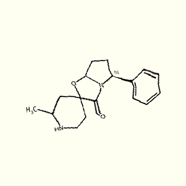 CC1CC2(CCN1)OC1CC[C@@H](c3ccccc3)N1C2=O